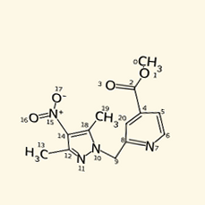 COC(=O)c1ccnc(Cn2nc(C)c([N+](=O)[O-])c2C)c1